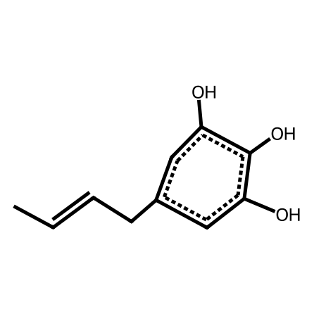 C/C=C/Cc1cc(O)c(O)c(O)c1